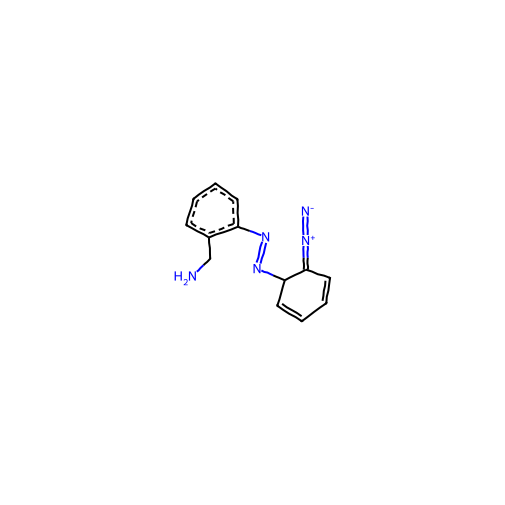 [N-]=[N+]=C1C=CC=CC1N=Nc1ccccc1CN